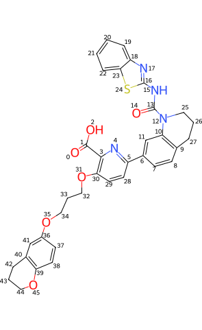 O=C(O)c1nc(-c2ccc3c(c2)N(C(=O)Nc2nc4ccccc4s2)CCC3)ccc1OCCCOc1ccc2c(c1)CCCO2